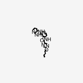 C=CCCOc1cnc(C(=O)Nc2ccnc(CNc3cccnc3N)c2)cn1